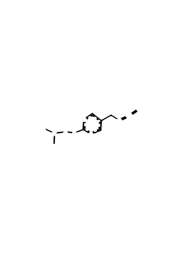 C[SiH](C)CSc1ncc(CN=[N+]=[N-])cn1